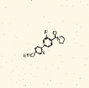 CCOc1ccc(-c2ccc(C(=O)N3CCCC3)c(F)c2)nc1